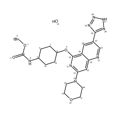 CC(C)(C)OC(=O)NC1CCC(Oc2nc(N3CCOCC3)cc3ncc(-c4nn[nH]n4)cc23)CC1.Cl